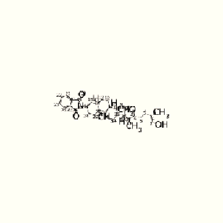 C[C@H](CO)CC[C@H]1OC2CC3[C@@H]4CC[C@@H]5C[C@H](N6C(=O)c7ccccc7C6=O)CC[C@]5(C)C4CC[C@]3(C)[C@H]2[C@@H]1C